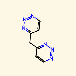 c1cc(Cc2ccnnn2)nnn1